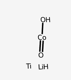 [LiH].[O]=[Co][OH].[Ti]